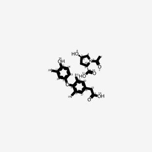 CC(=O)N1C[C@H](O)C[C@H]1C(=O)O.O=C(O)Cc1cc(I)c(Oc2ccc(O)c(I)c2)c(I)c1